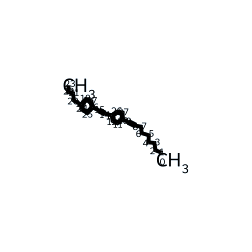 CCCCCCCCC#Cc1ccc(C#Cc2ccc(CCCC)cc2)cc1